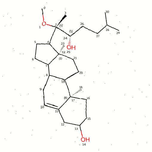 CO[C@@](C)(C1CCC2C3CC=C4CC(O)CC[C@]4(C)C3CC[C@@]21C)[C@@H](O)CCC(C)C